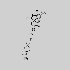 CCCC1CCC2CC(OCC3CCC(COC4=C(F)C(F)C(C)(c5ccc(OCC)c(F)c5F)C=C4)CC3)CCC2C1